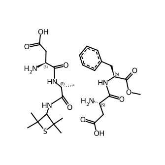 COC(=O)[C@H](Cc1ccccc1)NC(=O)[C@@H](N)CC(=O)O.C[C@@H](NC(=O)[C@@H](N)CC(=O)O)C(=O)NC1C(C)(C)SC1(C)C